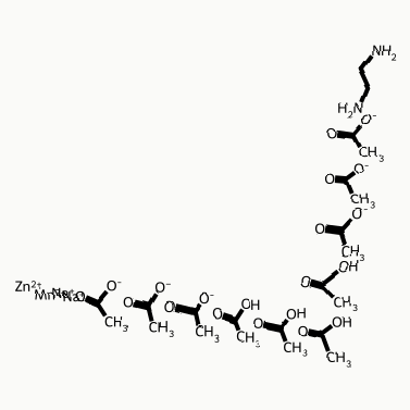 CC(=O)O.CC(=O)O.CC(=O)O.CC(=O)O.CC(=O)[O-].CC(=O)[O-].CC(=O)[O-].CC(=O)[O-].CC(=O)[O-].CC(=O)[O-].NCCN.[Mn+2].[Na+].[Na+].[Zn+2]